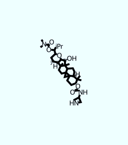 CC(C)C(OC(=O)N(C)C)C1C[C@@H](C)[C@H]2C(O1)[C@H](O)C1(C)C3CC[C@H]4C(C)(C)C(OC(=O)NC5CNC5)CCC45CC35CCC21C